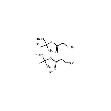 CCCCCCCCC(C)(OC(=O)CC(=O)[O-])C(C)(C)C.CCCCCCCCC(C)(OC(=O)CC(=O)[O-])C(C)(C)C.[K+].[Li+]